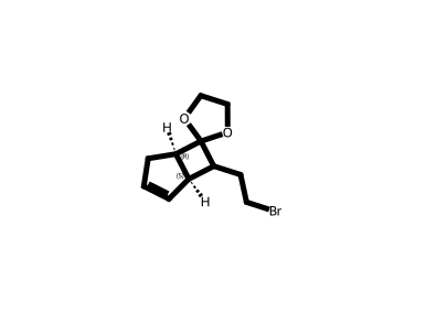 BrCCC1[C@H]2C=CC[C@H]2C12OCCO2